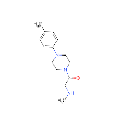 CNCC(=O)N1CCN(c2ccc(C)cc2)CC1